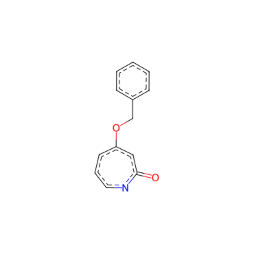 O=c1cc(OCc2ccccc2)cccn1